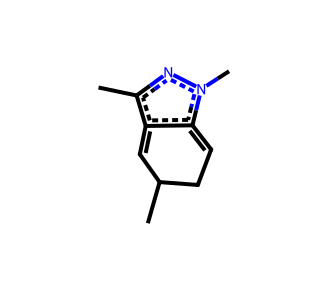 Cc1nn(C)c2c1=CC(C)CC=2